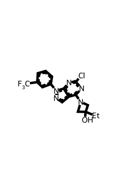 CCC1(O)CN(c2nc(Cl)nc3c2cnn3-c2cccc(C(F)(F)F)c2)C1